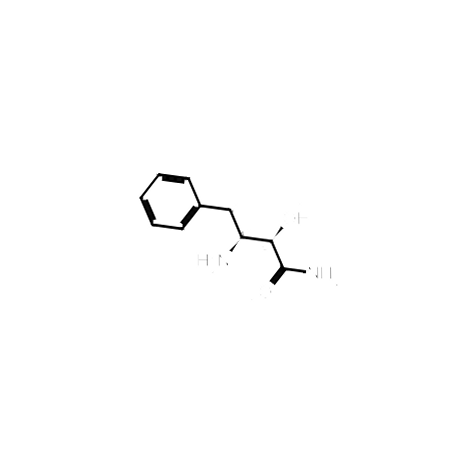 NC(=O)[C@H](O)[C@@H](N)Cc1ccccc1